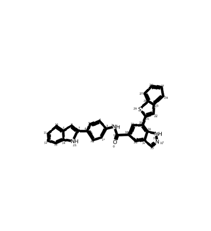 O=C(Nc1ccc(-c2cc3ccccc3[nH]2)cc1)c1cc(-c2cc3ccccc3s2)c2[nH]ncc2c1